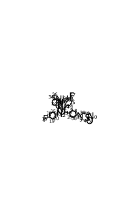 CN=S1(=O)CCN(c2ccc(-c3cn(-c4ccc(F)cc4)nc3[C@@H]3CC[C@H](F)C[C@H]3C(=O)NC3(C#N)CC3)cc2)CC1